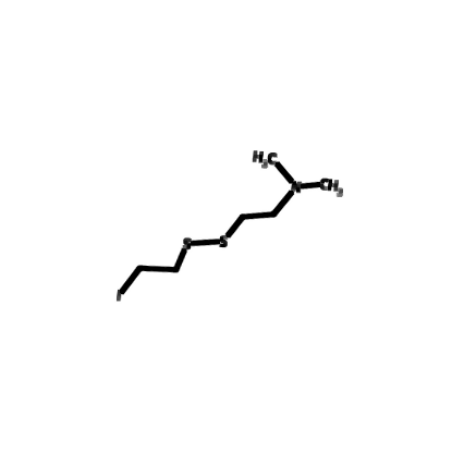 CN(C)CCSSCCI